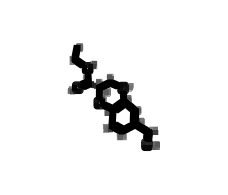 CCOC(=O)[C@@H]1COc2cc(C=O)ccc2O1